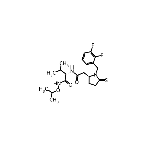 CC(C)ONC(=O)[C@@H](NC(=O)C[C@@H]1CCC(=S)N1Cc1cccc(F)c1F)C(C)C